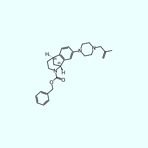 C=C(C)CN1CCN(c2ccc3c(c2)[C@H]2C[C@H]3CCN2C(=O)OCc2ccccc2)CC1